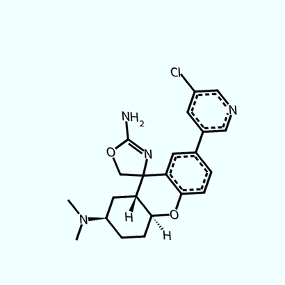 CN(C)[C@@H]1CC[C@@H]2Oc3ccc(-c4cncc(Cl)c4)cc3C3(COC(N)=N3)[C@H]2C1